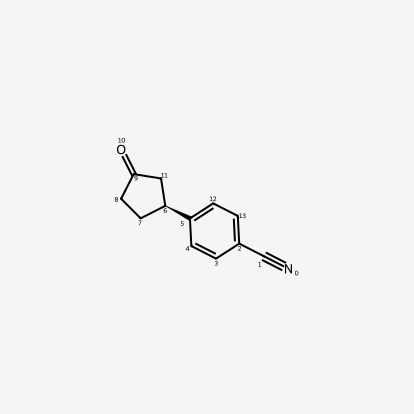 N#Cc1ccc([C@H]2CCC(=O)C2)cc1